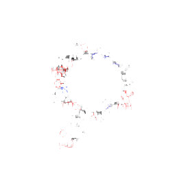 COC1CC(C[C@@H](C)[C@@H]2CC(=O)[C@H](C)/C=C(\C)[C@@H](O)C(OC)C(=O)C(C)C[C@H](C)/C=C/C=C/C=C(\C)[C@@H](OC)C[C@@H]3CC[C@@H](C)[C@@](O)(O3)C(=O)C(=O)N3CCCCC3C(=O)O2)CC[C@H]1O